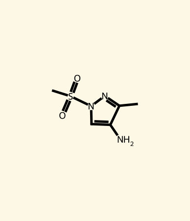 Cc1nn(S(C)(=O)=O)cc1N